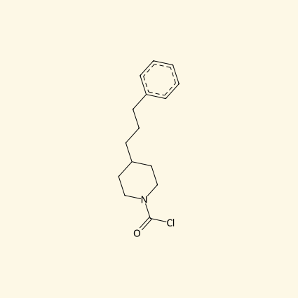 O=C(Cl)N1CCC(CCCc2ccccc2)CC1